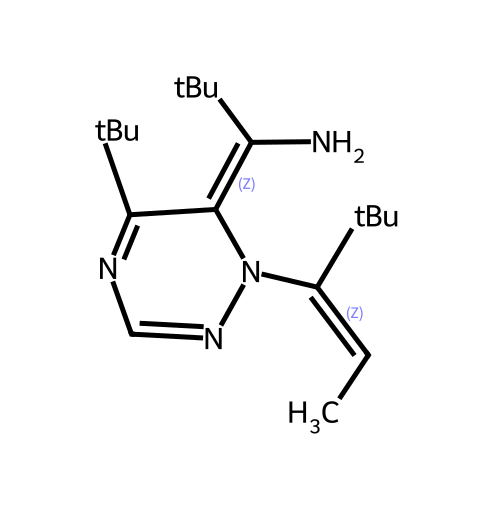 C/C=C(\N1N=CN=C(C(C)(C)C)/C1=C(/N)C(C)(C)C)C(C)(C)C